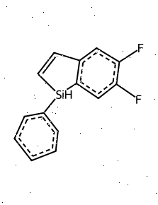 Fc1cc2c(cc1F)[SiH](c1ccccc1)C=C2